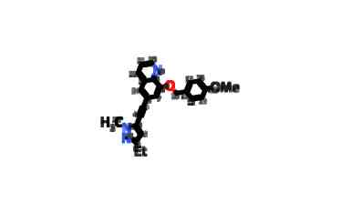 CCc1cc(C#Cc2cc(OCc3ccc(OC)cc3)c3ncccc3c2)n(C)n1